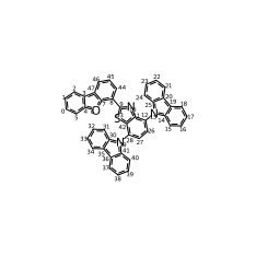 c1ccc2c(c1)oc1c(-c3nc4c(-n5c6ccccc6c6ccccc65)ccc(-n5c6ccccc6c6ccccc65)c4s3)cccc12